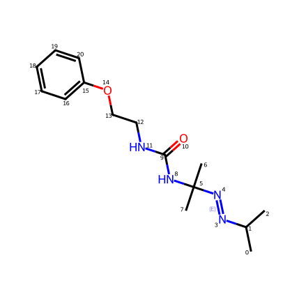 CC(C)/N=N/C(C)(C)NC(=O)NCCOc1ccccc1